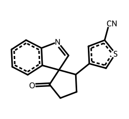 N#Cc1cc(C2CCC(=O)C23C=Nc2ccccc23)cs1